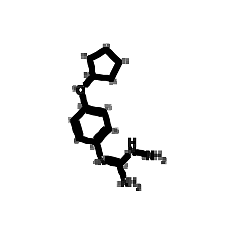 NN/C(N)=N\c1ccc(OC2CCCC2)cc1